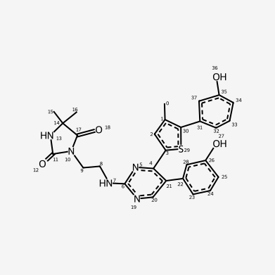 Cc1cc(-c2nc(NCCN3C(=O)NC(C)(C)C3=O)ncc2-c2cccc(O)c2)sc1-c1cccc(O)c1